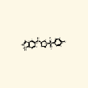 O=S(=O)(c1ccc(Cl)cc1)N1CCC(Nc2ccc3[nH]ncc3c2)C1